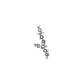 Cc1cc(C(=O)NC2CCN(C(C)C)CC2)ccc1-c1ccc(CC(NC(=O)[C@H]2CC[C@H](CN)CC2)C(=O)Nc2ccc(-c3nn[nH]n3)c(F)c2)cc1